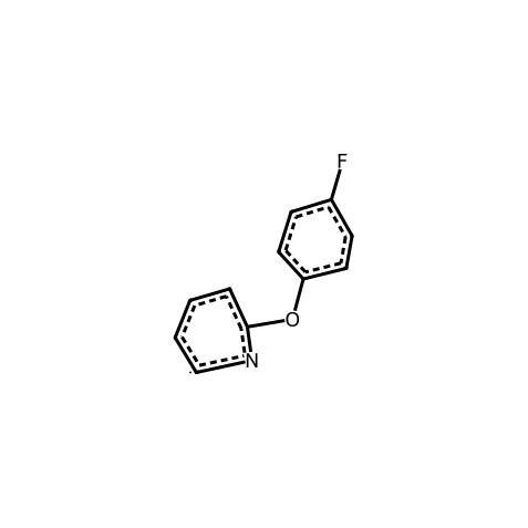 Fc1ccc(Oc2ccc[c]n2)cc1